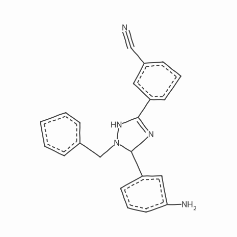 N#Cc1cccc(C2=NC(c3cccc(N)c3)N(Cc3ccccc3)N2)c1